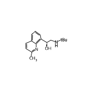 Cc1ccc2cccc([C@H](O)CNC(C)(C)C)c2n1